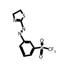 O=S(=O)(c1cccc(N=NC2=NCCS2)c1)C(F)(F)F